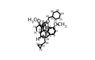 COc1ccc2c3c1O[C@H]1[C@@]4(OC)CC[C@@]5(C[C@@H]4COCC4CCCCC4)[C@@H](C2)N(CC2CC2)CC[C@]315